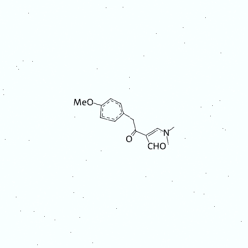 COc1ccc(CC(=O)C(C=O)=CN(C)C)cc1